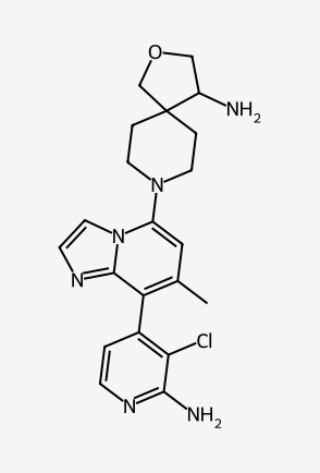 Cc1cc(N2CCC3(CC2)COCC3N)n2ccnc2c1-c1ccnc(N)c1Cl